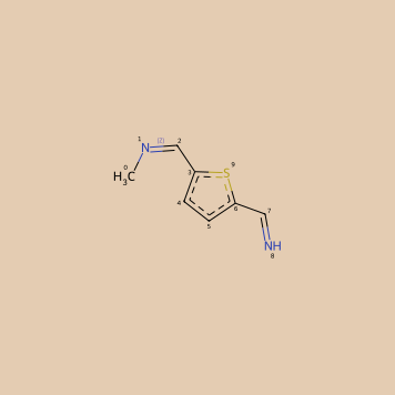 C/N=C\c1ccc(C=N)s1